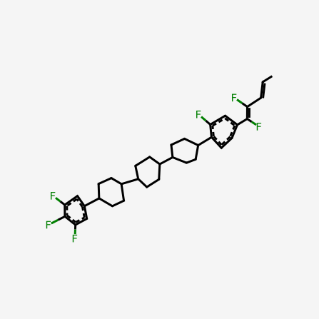 C/C=C/C(F)=C(\F)c1ccc(C2CCC(C3CCC(C4CCC(c5cc(F)c(F)c(F)c5)CC4)CC3)CC2)c(F)c1